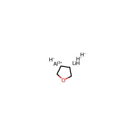 C1CCOC1.[Al+3].[H-].[H-].[H-].[LiH]